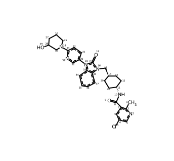 Cc1ncc(Cl)cc1C(=O)N[C@H]1CC[C@H](Cn2c(=O)n(-c3ccc(N4CCCC(O)C4)nc3)c3ccccc32)CC1